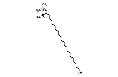 C[SiH](C)OC(CCCCCCCCCCCCCCCCCCCCCO)C(C)(C)C